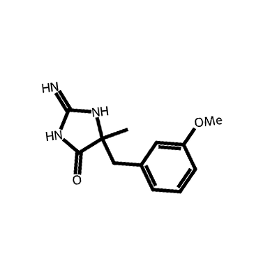 COc1cccc(CC2(C)NC(=N)NC2=O)c1